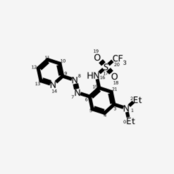 CCN(CC)c1ccc(N=Nc2ccccn2)c(NS(=O)(=O)C(F)(F)F)c1